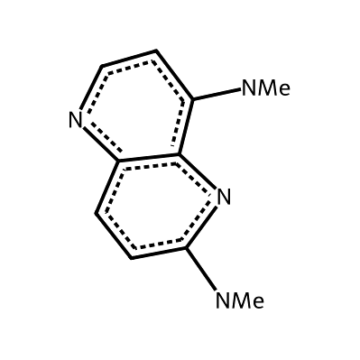 CNc1ccc2nccc(NC)c2n1